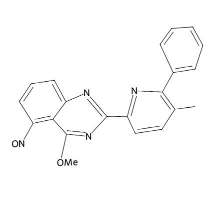 COc1nc(-c2ccc(C)c(-c3ccccc3)n2)nc2cccc(N=O)c12